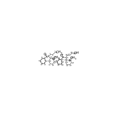 CCCCC(C(=O)c1ccccc1)C1CCCC(c2cccc(C(=O)C(CCCO)C3CCCCN3C)c2)N1C